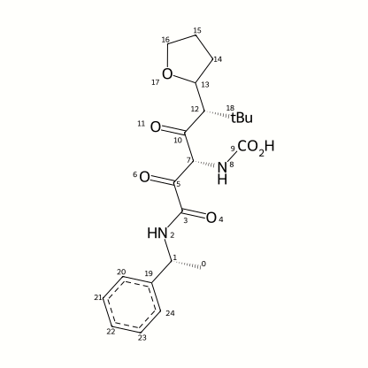 C[C@@H](NC(=O)C(=O)[C@@H](NC(=O)O)C(=O)[C@H](C1CCCO1)C(C)(C)C)c1ccccc1